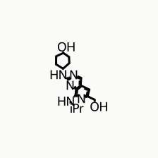 CC(C)Nc1nc(CO)cc2cnc(N[C@H]3CC[C@H](O)CC3)nc12